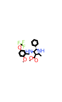 COC(=O)C1C(C)N[C@@H](c2ccccc2)C1NCc1cc(OC(F)(F)F)ccc1OC